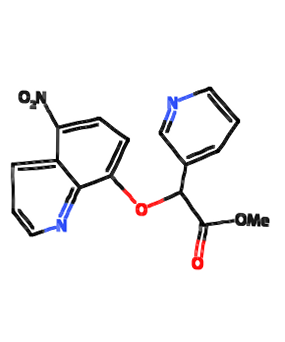 COC(=O)C(Oc1ccc([N+](=O)[O-])c2cccnc12)c1cccnc1